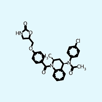 CC(=O)N(c1ccc(Cl)cc1)[C@@H]1C[C@H](C)N(C(=O)c2ccc(OCC3CNC(=O)O3)cc2)c2ccccc21